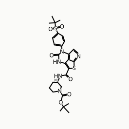 CC(C)(C)OC(=O)N1CCC[C@@H](NC(=O)c2sc3nccc4c3c2NC(=O)N4c2ccc(S(=O)(=O)C(C)(C)C)cc2)C1